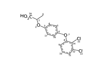 CC(Oc1ccc(Oc2cccc(Cl)c2Cl)cc1)C(=O)O